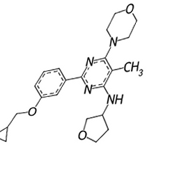 Cc1c(NC2CCOC2)nc(-c2cccc(OCC3CO3)c2)nc1N1CCOCC1